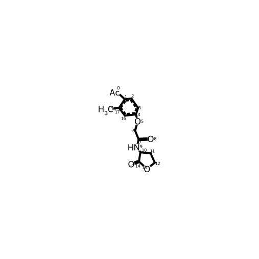 CC(=O)c1ccc(OCC(=O)N[C@H]2CCOC2=O)cc1C